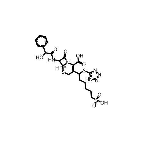 O=C(O)C1=C(C(CCCCCS(=O)(=O)O)Sc2nnn[nH]2)CS[C@H]2C(NC(=O)C(O)c3ccccc3)C(=O)N12